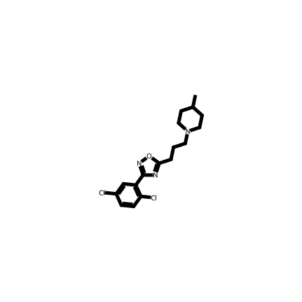 CC1CCN(CCCc2nc(-c3cc(Cl)ccc3Cl)no2)CC1